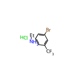 CCN.Cl.FC(F)(F)c1cccc(Br)c1